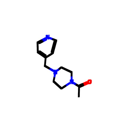 CC(=O)N1CCN(Cc2ccncc2)CC1